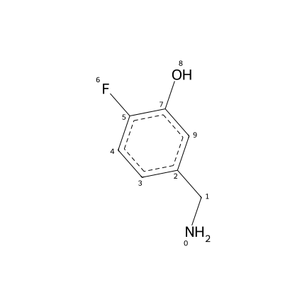 NCc1ccc(F)c(O)c1